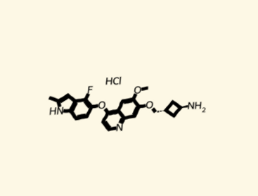 COc1cc2c(Oc3ccc4[nH]c(C)cc4c3F)ccnc2cc1OC[C@H]1C[C@H](N)C1.Cl